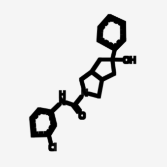 O=C(Nc1cccc(Cl)c1)N1CC2CC(O)(c3ccccc3)CC2C1